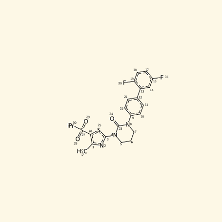 Cc1nc(N2CCCN(c3ccc(-c4cc(F)ccc4F)cc3)C2=O)sc1S(=O)(=O)C(C)C